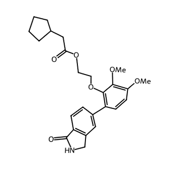 COc1ccc(-c2ccc3c(c2)CNC3=O)c(OCCOC(=O)CC2CCCC2)c1OC